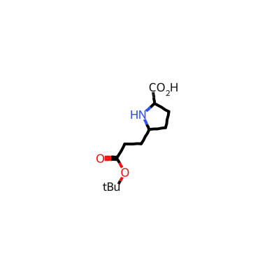 CC(C)(C)OC(=O)CCC1CCC(C(=O)O)N1